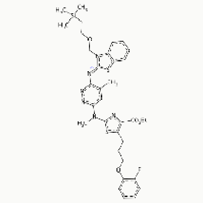 CCOC(=O)c1nc(N(C)c2cc(C)c(/N=c3\sc4ccccc4n3COCC[Si](C)(C)C)nn2)sc1CCCOc1ccccc1F